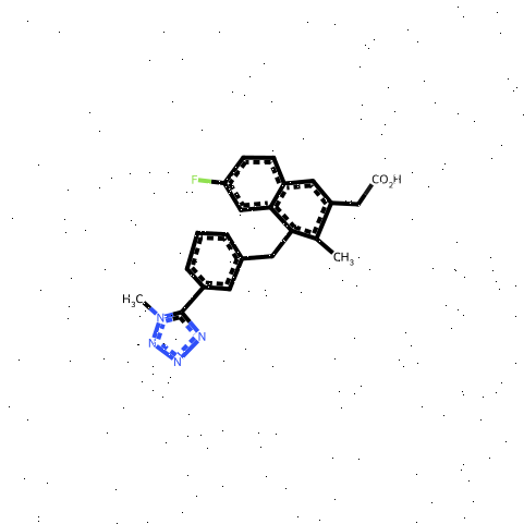 Cc1c(CC(=O)O)cc2ccc(F)cc2c1Cc1cccc(-c2nnnn2C)c1